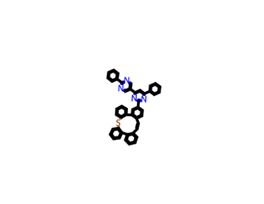 C1=C\c2ccc(-c3nc(-c4ccccc4)cc(-c4cnc(-c5ccccc5)nc4)n3)cc2-c2ccccc2Sc2ccccc2-c2ccccc2/1